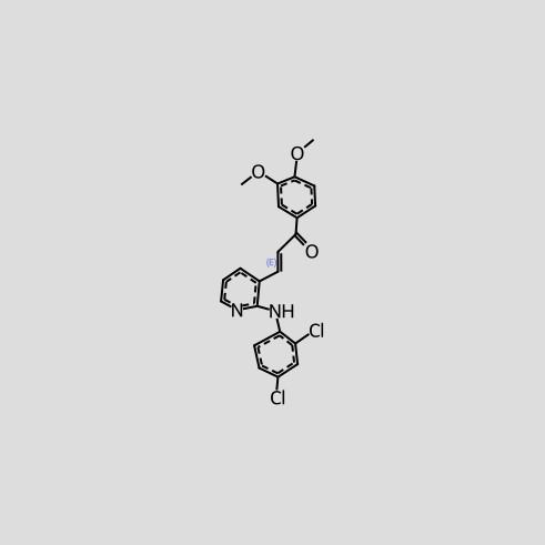 COc1ccc(C(=O)/C=C/c2cccnc2Nc2ccc(Cl)cc2Cl)cc1OC